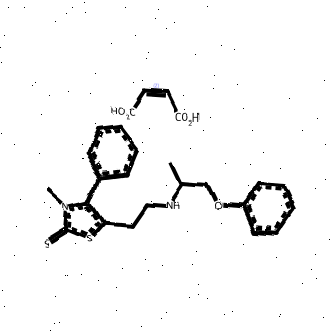 CC(COc1ccccc1)NCCc1sc(=S)n(C)c1-c1ccccc1.O=C(O)/C=C\C(=O)O